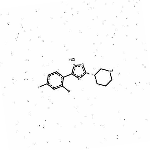 Cl.Fc1ccc(-c2noc([C@H]3CCCNC3)n2)c(F)c1